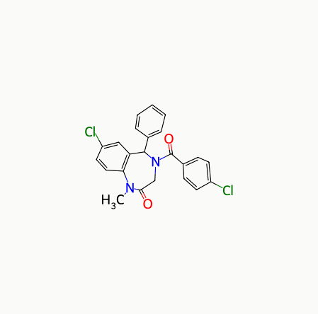 CN1C(=O)CN(C(=O)c2ccc(Cl)cc2)C(c2ccccc2)c2cc(Cl)ccc21